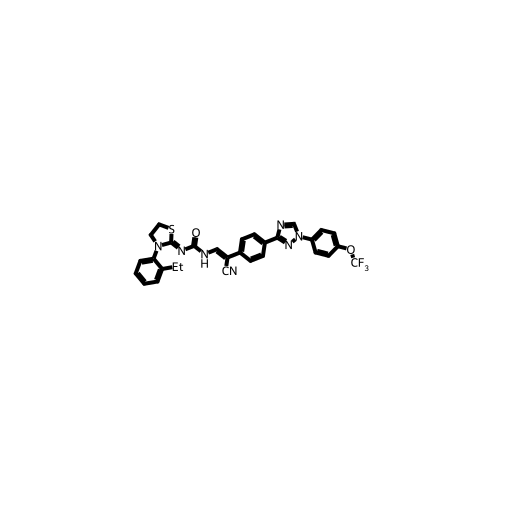 CCc1ccccc1N1CCS/C1=N\C(=O)N/C=C(\C#N)c1ccc(-c2ncn(-c3ccc(OC(F)(F)F)cc3)n2)cc1